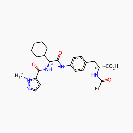 CCC(=O)N[C@H](Cc1ccc(NC(=O)[C@@H](NC(=O)c2ccnn2C)C2CCCCC2)cc1)C(=O)O